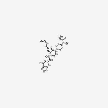 CCN(C(=O)OC(C)(C)C)C1CCN(c2ccc(C(=O)Nc3cc(F)c4nccn4c3)c3nn(CCOC)cc23)CC1